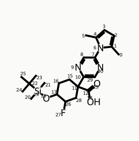 Cc1ccc(C)n1-c1cnc(C2(C(=O)O)CCC(O[Si](C)(C)C(C)(C)C)C(F)C2)cn1